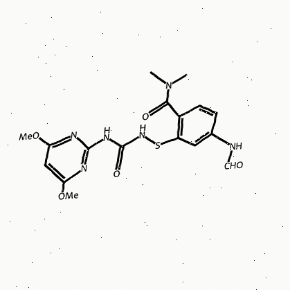 COc1cc(OC)nc(NC(=O)NSc2cc(NC=O)ccc2C(=O)N(C)C)n1